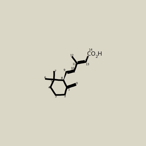 C=C1CCCC(C)(C)[C@H]1/C=C/C(C)=C/C(=O)O